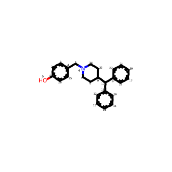 Oc1ccc(CN2CCC(C(c3ccccc3)c3ccccc3)CC2)cc1